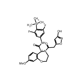 COc1ccc2c(c1)OCCN(C(=O)Cc1cc(O)no1)[C@@H]2C(=O)Nc1cc(F)c([Si](C)(C)C)c(F)c1